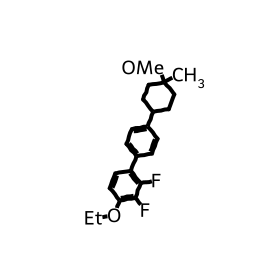 CCOc1ccc(-c2ccc(C3CCC(C)(OC)CC3)cc2)c(F)c1F